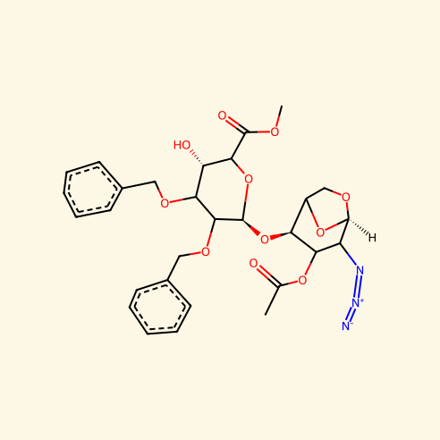 COC(=O)C1O[C@@H](O[C@H]2C3CO[C@H](O3)C(N=[N+]=[N-])C2OC(C)=O)C(OCc2ccccc2)C(OCc2ccccc2)[C@@H]1O